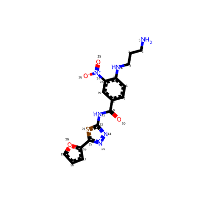 NCCCNc1ccc(C(=O)Nc2nnc(-c3ccco3)s2)cc1[N+](=O)[O-]